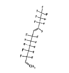 C=CC(F)(F)C(F)(F)C(F)(F)C(F)(F)C(F)(F)C=C(F)C(F)(F)C(F)(F)C(F)(F)F